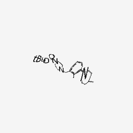 Cc1c(CN2CCN(C(=O)OC(C)(C)C)CC2)cccc1N1CCC(C)CC1